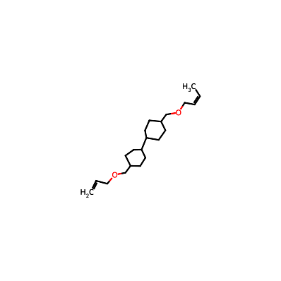 C=CCOCC1CCC(C2CCC(COC/C=C\C)CC2)CC1